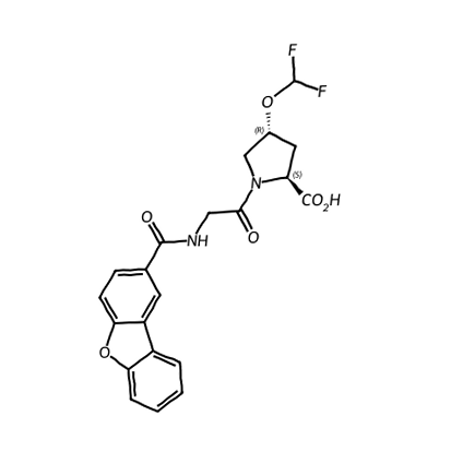 O=C(NCC(=O)N1C[C@H](OC(F)F)C[C@H]1C(=O)O)c1ccc2oc3ccccc3c2c1